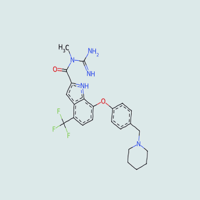 CN(C(=N)N)C(=O)c1cc2c(C(F)(F)F)ccc(Oc3ccc(CN4CCCCC4)cc3)c2[nH]1